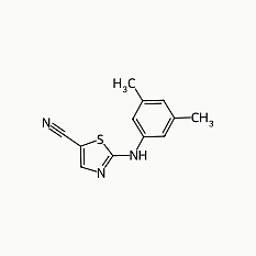 Cc1cc(C)cc(Nc2ncc(C#N)s2)c1